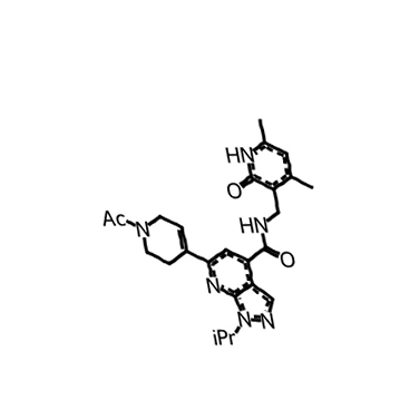 CC(=O)N1CC=C(c2cc(C(=O)NCc3c(C)cc(C)[nH]c3=O)c3cnn(C(C)C)c3n2)CC1